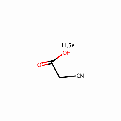 N#CCC(=O)O.[SeH2]